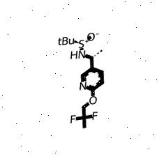 C[C@@H](N[S@+]([O-])C(C)(C)C)c1ccc(OCC(C)(F)F)nc1